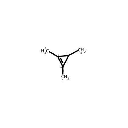 [CH2]C1C(C)=C1C